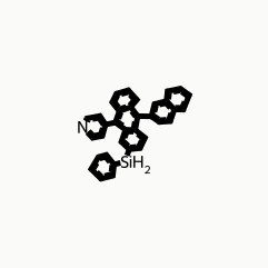 c1ccc([SiH2]c2ccc3c(-c4ccc5ccccc5c4)c4ccccc4c(-c4ccncc4)c3c2)cc1